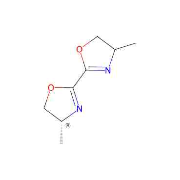 CC1COC(C2=N[C@H](C)CO2)=N1